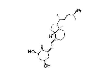 C=C1/C(=C\C=C2/CCC[C@]3(C)[C@@H]([C@H](C)/C=C/[C@H](C)C(C)C)CC[C@@H]23)C[C@@H](O)C[C@H]1O